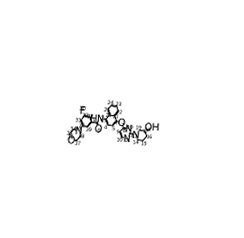 O=C(Nc1ccc(Oc2ccnc(N3CCCC(O)C3)n2)c2ccccc12)c1cc(F)cc(N2CCOCC2)c1